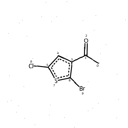 CC(=O)c1cc(Cl)sc1Br